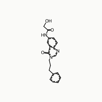 O=C(CO)Nc1ccc2ncn(CCCc3ccccc3)c(=O)c2c1